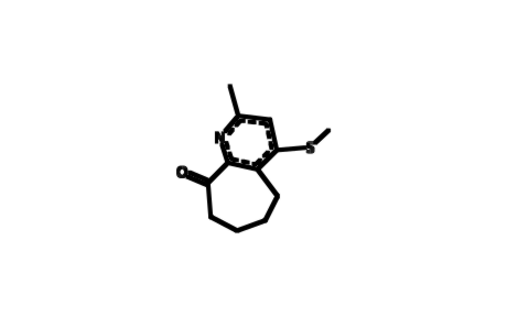 CSc1cc(C)nc2c1CCCCC2=O